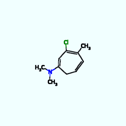 CC1=C(Cl)C=C(N(C)C)CC=C1